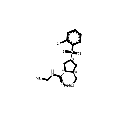 COC[C@@H]1C[C@H](S(=O)(=O)c2ccccc2Cl)C[C@H]1C(=O)NCC#N